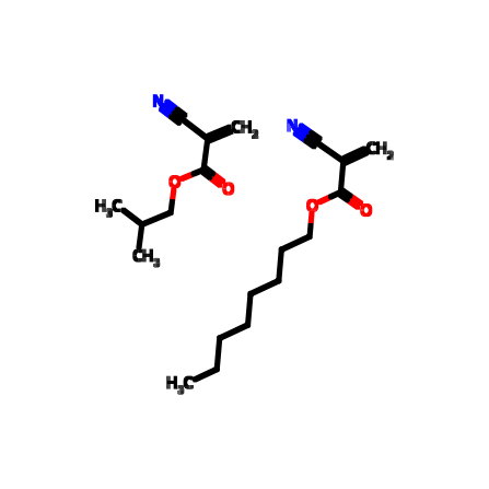 C=C(C#N)C(=O)OCC(C)C.C=C(C#N)C(=O)OCCCCCCCC